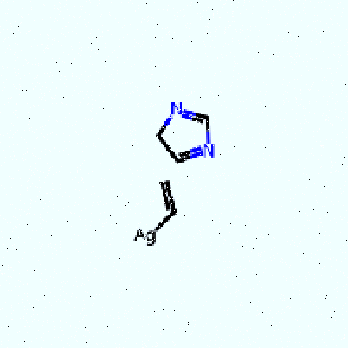 C1=NC=NC1.C=[CH][Ag]